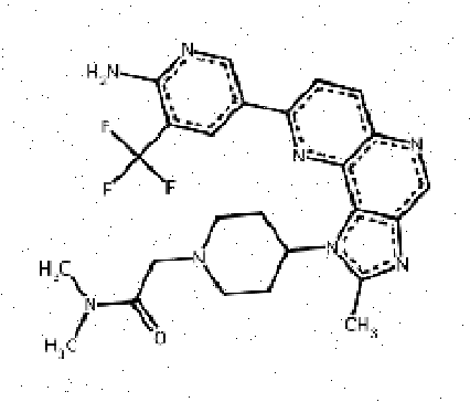 Cc1nc2cnc3ccc(-c4cnc(N)c(C(F)(F)F)c4)nc3c2n1C1CCN(CC(=O)N(C)C)CC1